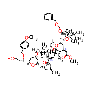 C=C1C[C@@H](C[C@H]2C[C@@H](O[Si](C)(C)C(C)(C)C)C[C@@H](C[C@H](CCO)OCc3ccc(OC)cc3)O2)O[C@@H](/C=C/C(C)(C)[C@]2(OC)[CH]/C(=C\C(=O)OC)C[C@@H](C[C@@H](O[Si](C)(C)C(C)(C)C)[C@@H](C)OCOCc3ccccc3)O2)C1